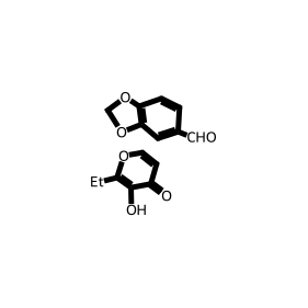 CCc1occc(=O)c1O.O=Cc1ccc2c(c1)OCO2